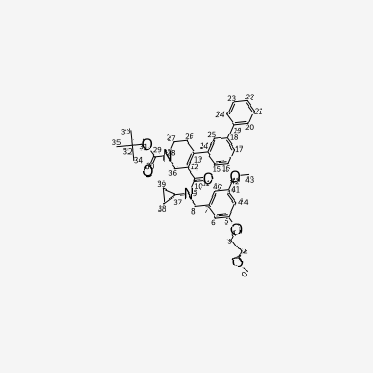 COCCOc1cc(CN(C(=O)C2=C(c3cccc(-c4ccccc4)c3)CCN(C(=O)OC(C)(C)C)C2)C2CC2)cc(OC)c1